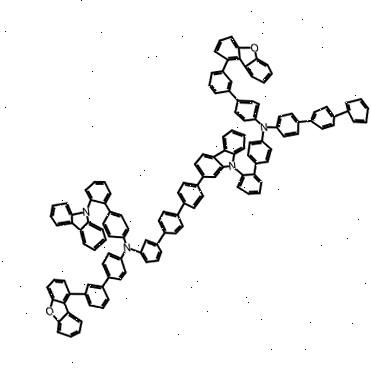 c1ccc(-c2ccc(-c3ccc(N(c4ccc(-c5cccc(-c6cccc7oc8ccccc8c67)c5)cc4)c4ccc(-c5ccccc5-n5c6ccccc6c6ccc(-c7ccc(-c8ccc(-c9cccc(N(c%10ccc(-c%11cccc(-c%12cccc%13oc%14ccccc%14c%12%13)c%11)cc%10)c%10ccc(-c%11ccccc%11-n%11c%12ccccc%12c%12ccccc%12%11)cc%10)c9)cc8)cc7)cc65)cc4)cc3)cc2)cc1